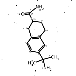 CC(C)(N)c1ccc2c(c1)CCC(C(N)=O)C2